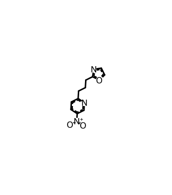 O=[N+]([O-])c1ccc(CCCc2ncco2)nc1